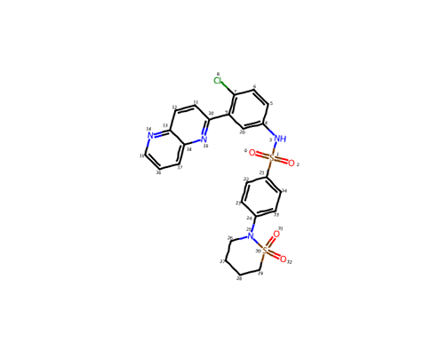 O=S(=O)(Nc1ccc(Cl)c(-c2ccc3ncccc3n2)c1)c1ccc(N2CCCCS2(=O)=O)cc1